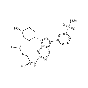 CNS(=O)(=O)c1cncc(-c2cc([C@H]3CC[C@H](O)CC3)n3nc(N[C@@H](C)COC(F)F)ncc23)c1